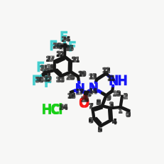 CC(C)c1ccccc1C1CNCCN1C(=O)N(C)Cc1cc(C(F)(F)F)cc(C(F)(F)F)c1.Cl